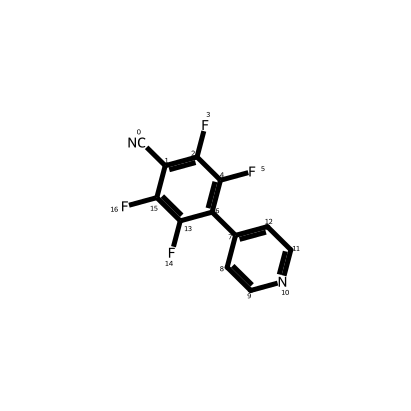 N#Cc1c(F)c(F)c(-c2ccncc2)c(F)c1F